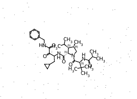 CC(C)C(=O)N[C@H](C(=O)N1C[C@H](C)[C@H](C(C)C)[C@H]1C(=O)NC(CC1CC1)C(=O)C(=O)NCc1ccccc1)C(C)(C)C